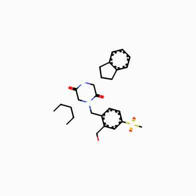 CCC(CC)[C@@H]1C(=O)N[C@H](C2Cc3ccccc3C2)C(=O)N1Cc1ccc(S(C)(=O)=O)cc1CO